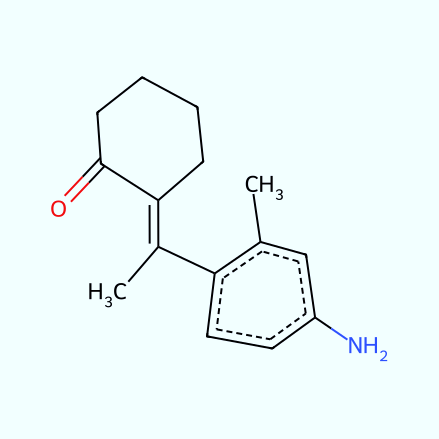 CC(=C1CCCCC1=O)c1ccc(N)cc1C